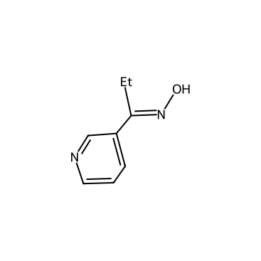 CC/C(=N\O)c1cccnc1